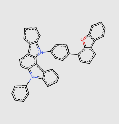 c1ccc(-n2c3ccccc3c3c2ccc2c4ccccc4n(-c4ccc(-c5cccc6c5oc5ccccc56)cc4)c23)cc1